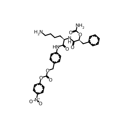 NCCCC[C@@H](NC(=O)[C@H](Cc1ccccc1)OC(N)=O)C(=O)Nc1ccc(COC(=O)Oc2ccc([N+](=O)[O-])cc2)cc1